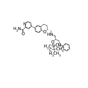 CC(C)(C)[Si](C)(C)O[C@@H](CNC[C@H]1CCc2cc(-c3ccnc(C(N)=O)c3)ccc2O1)COc1ccccc1